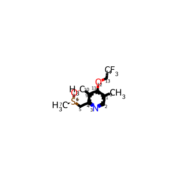 Cc1cnc(C[S@+](C)[O-])c(C)c1OCC(F)(F)F